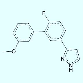 COc1cccc(-c2cc(-c3cc[nH]n3)ccc2F)c1